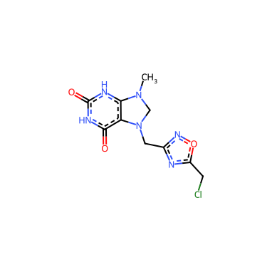 CN1CN(Cc2noc(CCl)n2)c2c1[nH]c(=O)[nH]c2=O